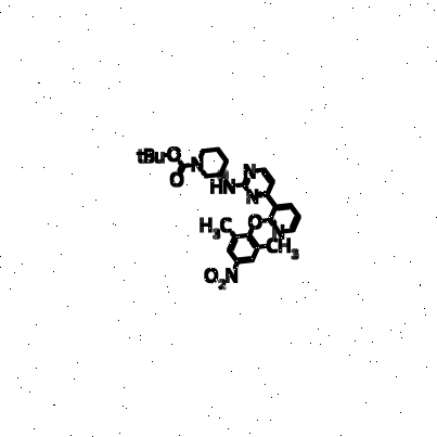 Cc1cc([N+](=O)[O-])cc(C)c1Oc1ncccc1-c1ccnc(N[C@H]2CCCN(C(=O)OC(C)(C)C)C2)n1